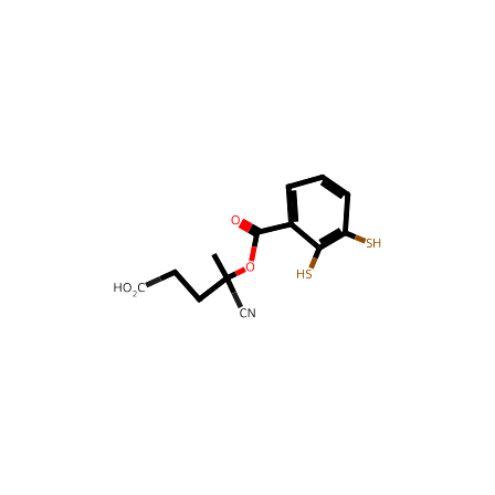 CC(C#N)(CCC(=O)O)OC(=O)c1cccc(S)c1S